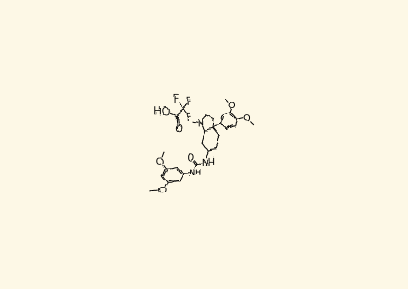 COc1cc(NC(=O)NC2CCC3(c4ccc(OC)c(OC)c4)CCN(C)C3C2)cc(OC)c1.O=C(O)C(F)(F)F